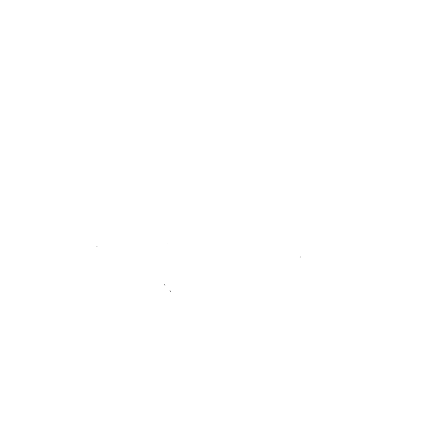 CCC(CC(C)c1ccccn1)c1ccccc1